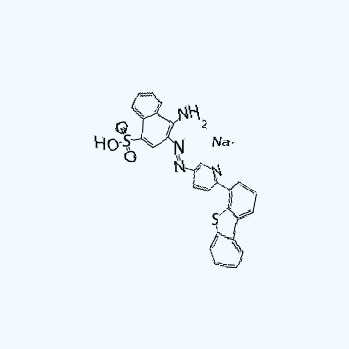 Nc1c(N=Nc2ccc(-c3cccc4c3sc3ccccc34)nc2)cc(S(=O)(=O)O)c2ccccc12.[Na]